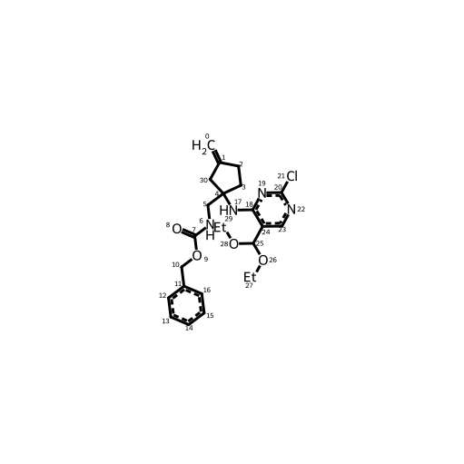 C=C1CCC(CNC(=O)OCc2ccccc2)(Nc2nc(Cl)ncc2C(OCC)OCC)C1